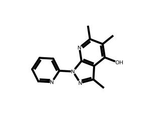 Cc1nc2c(c(C)nn2-c2ccccn2)c(O)c1C